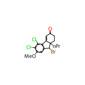 CCCC12CCC(=O)C=C1c1c(cc(OC)c(Cl)c1Cl)C2Br